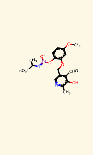 Cc1ncc(COc2cc(OC(F)(F)F)ccc2O/[P+]([O-])=N/C(C)C(=O)O)c(C=O)c1O